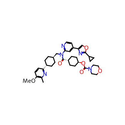 COc1ccc([C@H]2CC[C@H](CN(c3cc(-c4coc(C5CC5)n4)ccn3)C(=O)[C@H]3CC[C@H](OC(=O)N4CCOCC4)CC3)CC2)nc1C